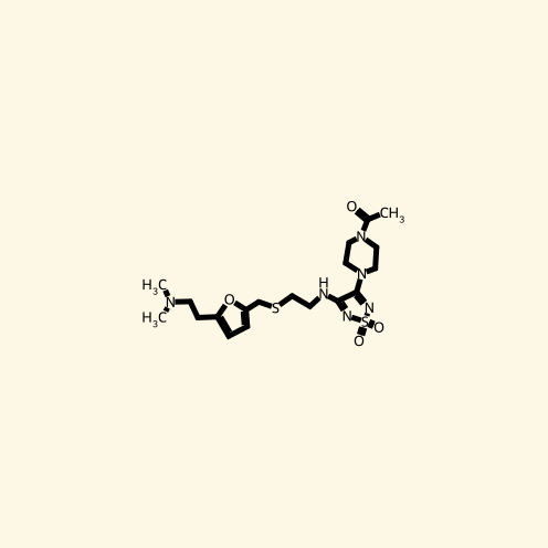 CC(=O)N1CCN(C2=NS(=O)(=O)N=C2NCCSCc2ccc(CCN(C)C)o2)CC1